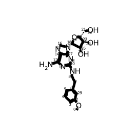 COc1cccc(CCNc2nc(N)c3ncn([C@@H]4O[C@H](CO)[C@@H](O)[C@H]4O)c3n2)c1